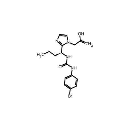 C=C(O)Cn1ccnc1[C@H](CCC)NC(=O)Nc1ccc(Br)cc1